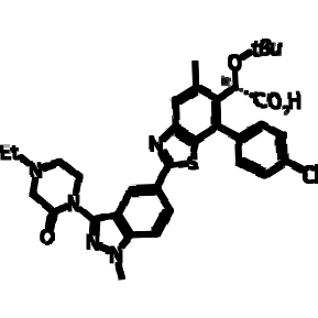 CCN1CCN(c2nn(C)c3ccc(-c4nc5cc(C)c([C@H](OC(C)(C)C)C(=O)O)c(-c6ccc(Cl)cc6)c5s4)cc23)C(=O)C1